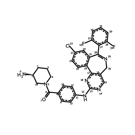 N[C@H]1CCCN(C(=O)c2ccc(Nc3ncc4c(n3)-c3ccc(Cl)cc3C(c3c(F)cccc3F)=NC4)cc2)C1